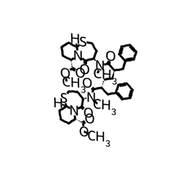 COC(=O)[C@@H]1CCC[C@@H]2SCC[C@H](N(C)C(=O)[C@H](CC[C@H](Cc3ccccc3)C(=O)N(C)[C@H]3CCS[C@H]4CCC[C@@H](C(=O)OC)N4C3=O)Cc3ccccc3)C(=O)N21